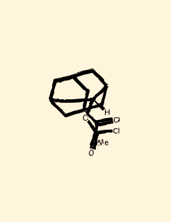 COC(=O)[C@]12CC3CC(C1)[C@@H](OC(=O)Cl)C(C3)C2